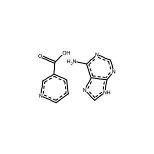 Nc1ncnc2[nH]cnc12.O=C(O)c1cccnc1